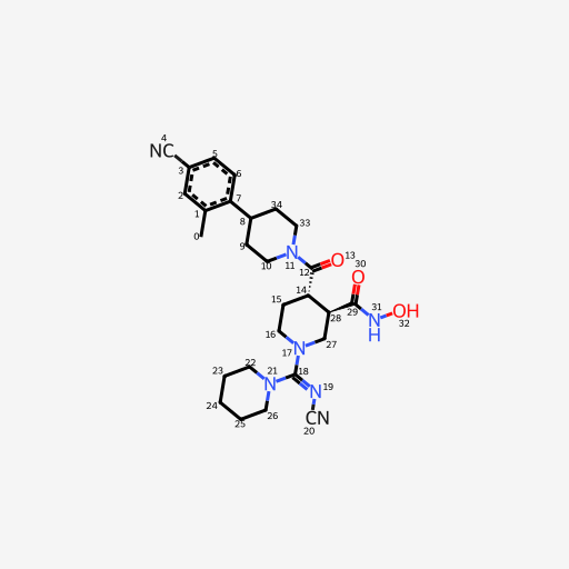 Cc1cc(C#N)ccc1C1CCN(C(=O)[C@H]2CCN(/C(=N/C#N)N3CCCCC3)C[C@@H]2C(=O)NO)CC1